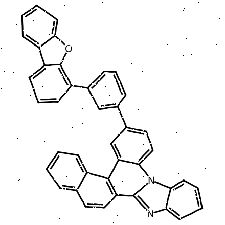 c1cc(-c2ccc3c(c2)c2c4ccccc4ccc2c2nc4ccccc4n32)cc(-c2cccc3c2oc2ccccc23)c1